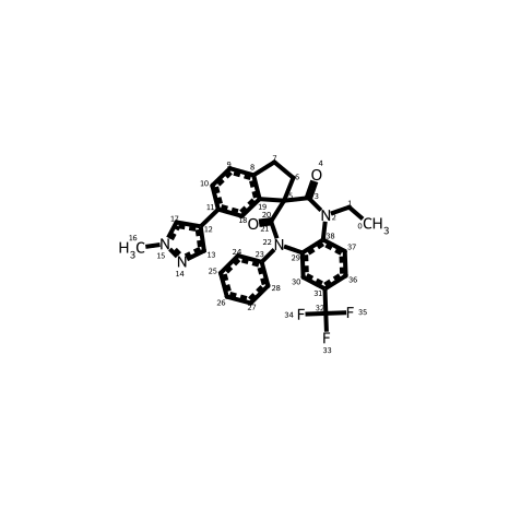 CCN1C(=O)C2(CCc3ccc(-c4cnn(C)c4)cc32)C(=O)N(c2ccccc2)c2cc(C(F)(F)F)ccc21